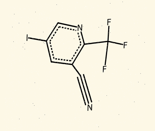 N#Cc1cc(I)cnc1C(F)(F)F